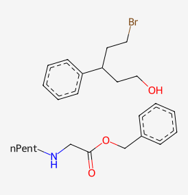 CCCCCNCC(=O)OCc1ccccc1.OCCC(CCBr)c1ccccc1